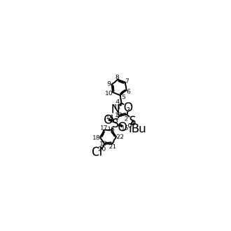 CCC(C)Sc1oc(-c2ccccc2)nc1S(=O)(=O)c1ccc(Cl)cc1